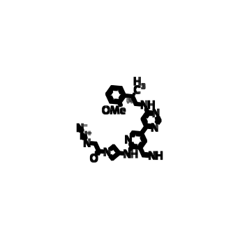 COc1ccccc1[C@H](C)CNc1cc(-c2cnc(NC3CN(C(=O)CN=[N+]=[N-])C3)c(C=N)c2)ncn1